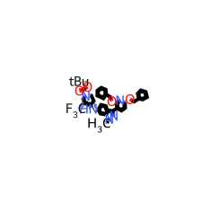 Cn1nc(-c2ccc(OCc3ccccc3)nc2OCc2ccccc2)c2ccc(N[C@H]3CCN(C(=O)OC(C)(C)C)C[C@H]3C(F)(F)F)cc21